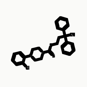 N#CC(CCSC(=S)N1CCN(c2ccccc2Cl)CC1)(c1ccccc1)c1ccccc1